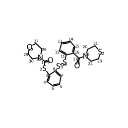 O=C(Sc1ccccc1SSc1ccccc1C(=O)N1CCSCC1)N1CCOCC1